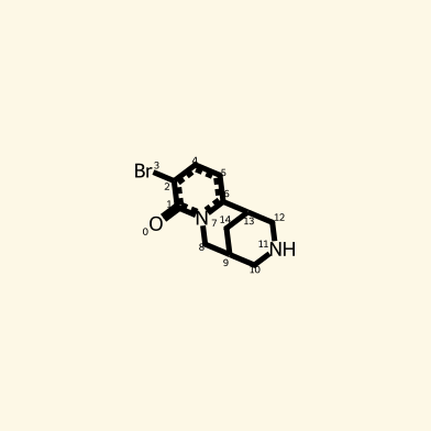 O=c1c(Br)ccc2n1CC1CNCC2C1